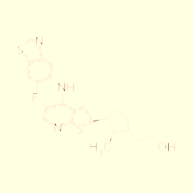 C[C@@H]1C(CCO)CC[C@@H]1c1cc2c(Nc3cc4ncsc4cc3F)ccnc2s1